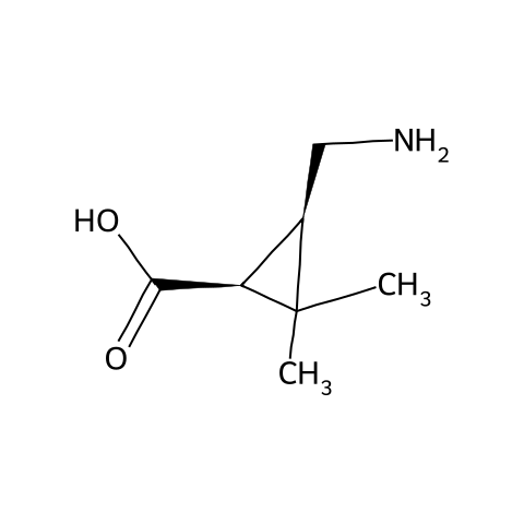 CC1(C)[C@H](CN)[C@@H]1C(=O)O